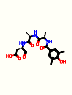 Cc1cc(C(=O)N[C@@H](C)C(=O)N[C@@H](C)C(=O)N[C@H](C=O)CC(=O)O)cc(C)c1O